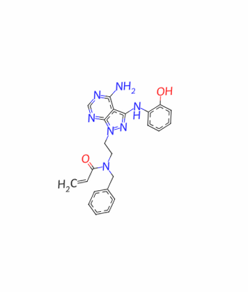 C=CC(=O)N(CCn1nc(Nc2ccccc2O)c2c(N)ncnc21)Cc1ccccc1